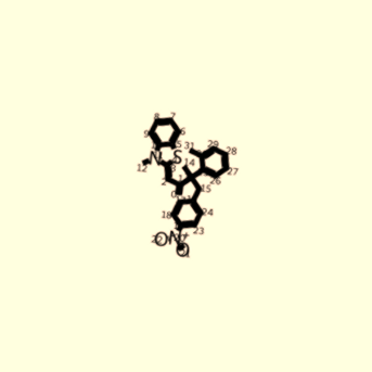 C=C(/C=C1\Sc2ccccc2N1C)C(C)(Cc1ccc([N+](=O)[O-])cc1)c1ccccc1C